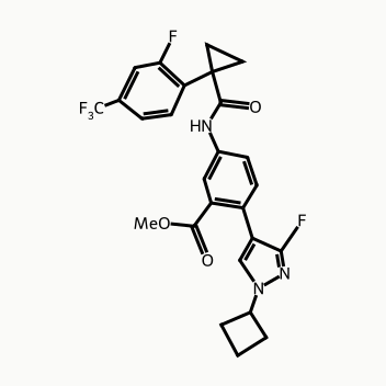 COC(=O)c1cc(NC(=O)C2(c3ccc(C(F)(F)F)cc3F)CC2)ccc1-c1cn(C2CCC2)nc1F